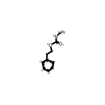 CC(C)[N]C(=O)OCCc1ccccc1